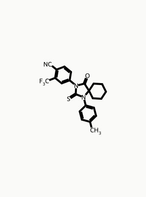 Cc1ccc(N2C(=S)N(c3ccc(C#N)c(C(F)(F)F)c3)C(=O)C23CCCCC3)cc1